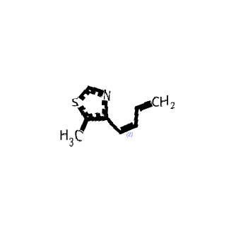 C=C/C=C\c1ncsc1C